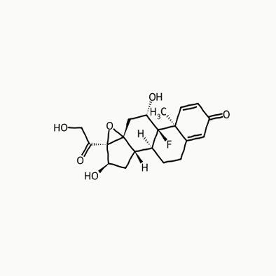 C[C@]12C=CC(=O)C=C1CC[C@H]1[C@@H]3C[C@@H](O)[C@@]4(C(=O)CO)O[C@]34C[C@H](O)[C@@]12F